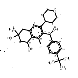 CC1(C)Cc2nc(C3CCOCC3)c([C@@H](O)c3ccc(C(C)(C)C)cc3)c(I)c2C(O)C1